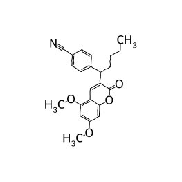 CCCCC(c1ccc(C#N)cc1)c1cc2c(OC)cc(OC)cc2oc1=O